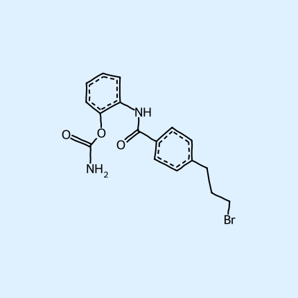 NC(=O)Oc1ccccc1NC(=O)c1ccc(CCCBr)cc1